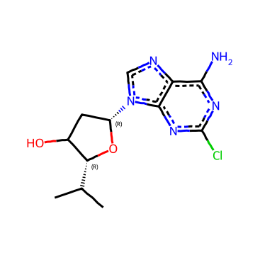 CC(C)[C@H]1O[C@@H](n2cnc3c(N)nc(Cl)nc32)CC1O